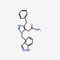 NC(=O)Cc1c(Cc2ccccc2)ncn1Cc1cccc2[nH]ncc12